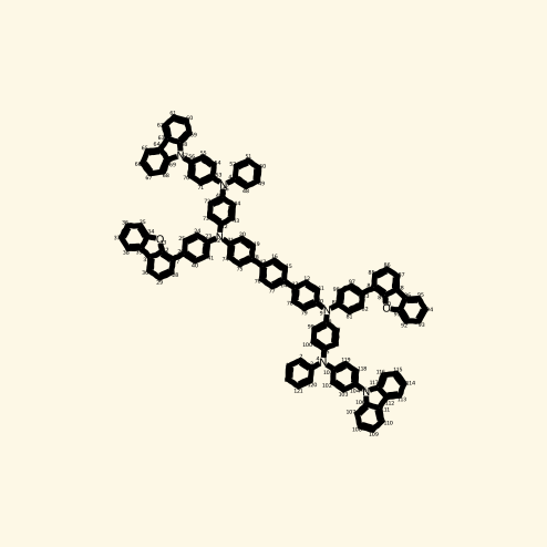 c1ccc(N(c2ccc(N(c3ccc(-c4ccc(-c5ccc(N(c6ccc(-c7cccc8c7oc7ccccc78)cc6)c6ccc(N(c7ccccc7)c7ccc(-n8c9ccccc9c9ccccc98)cc7)cc6)cc5)cc4)cc3)c3ccc(-c4cccc5c4oc4ccccc45)cc3)cc2)c2ccc(-n3c4ccccc4c4ccccc43)cc2)cc1